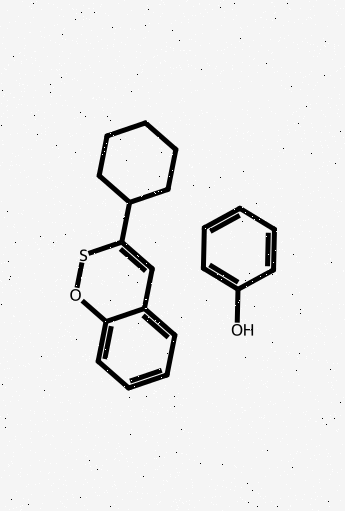 C1=C(C2CCCCC2)SOc2ccccc21.Oc1ccccc1